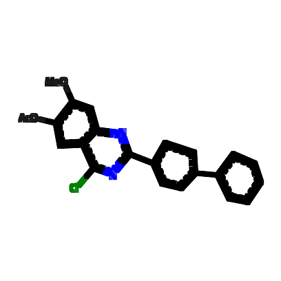 COc1cc2nc(-c3ccc(-c4ccccc4)cc3)nc(Cl)c2cc1OC(C)=O